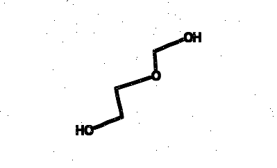 OCCOCO